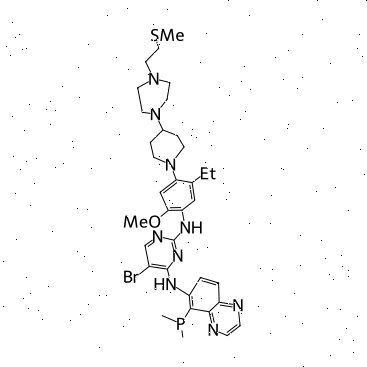 CCc1cc(Nc2ncc(Br)c(Nc3ccc4nccnc4c3P(C)C)n2)c(OC)cc1N1CCC(N2CCN(CCSC)CC2)CC1